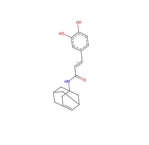 O=C(/C=C/c1ccc(O)c(O)c1)NC12CC3=CC(CC(C3)C1)C2